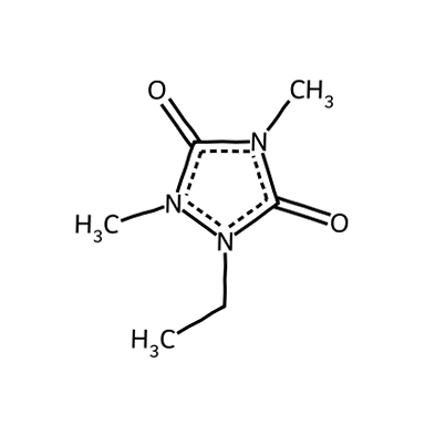 CCn1c(=O)n(C)c(=O)n1C